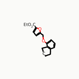 CCOC(=O)c1ccc(COc2cccc3c2CCCC3)o1